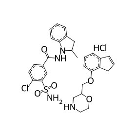 C1=Cc2cccc(OCC3CNCCO3)c2C1.CC1Cc2ccccc2N1NC(=O)c1ccc(Cl)c(S(N)(=O)=O)c1.Cl